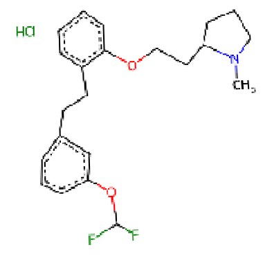 CN1CCCC1CCOc1ccccc1CCc1cccc(OC(F)F)c1.Cl